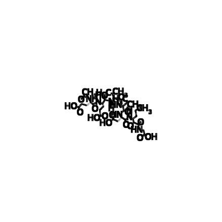 CCC[C@H](NC(=O)[C@H](CC(=O)O)NC(=O)[C@@H](NC(=O)[C@@H](NC(=O)[C@H](CCC(=O)O)NC(=O)[C@H](CCC(=O)O)NC(C)=O)C(C)C)C(C)C)C(=O)C(=O)NCC(=O)O